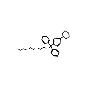 NCCOCCOCCNC(c1ccccc1)(c1ccccc1)c1ccc(C2CCCCC2)cc1